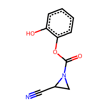 N#CC1CN1C(=O)Oc1ccccc1O